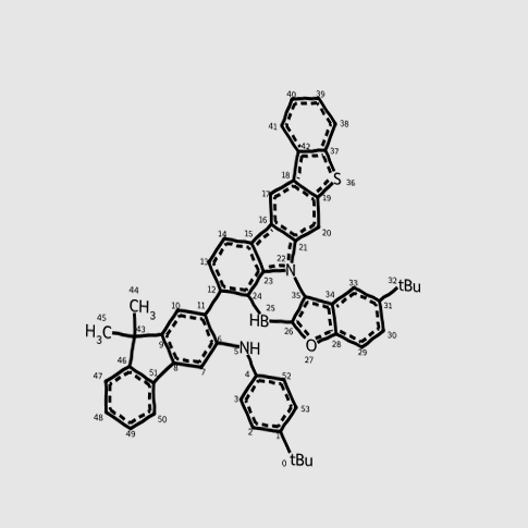 CC(C)(C)c1ccc(Nc2cc3c(cc2-c2ccc4c5cc6c(cc5n5c4c2Bc2oc4ccc(C(C)(C)C)cc4c2-5)sc2ccccc26)C(C)(C)c2ccccc2-3)cc1